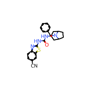 N#Cc1ccc2nc(NC(=O)NC3CC4CCC(C3)N4Cc3ccccc3)sc2c1